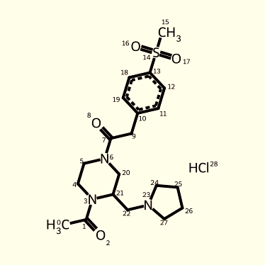 CC(=O)N1CCN(C(=O)Cc2ccc(S(C)(=O)=O)cc2)CC1CN1CCCC1.Cl